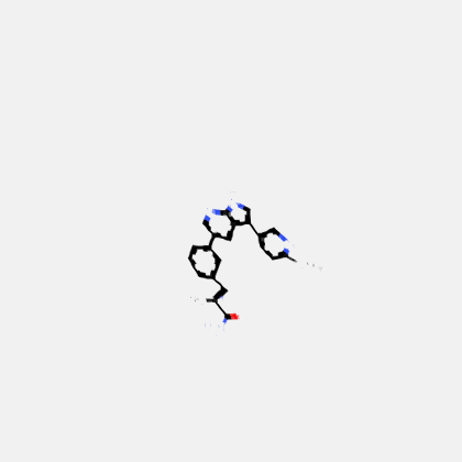 COc1ccc(-c2c[nH]c3ncc(-c4cccc(/C=C(\C#N)C(N)=O)c4)cc23)cn1